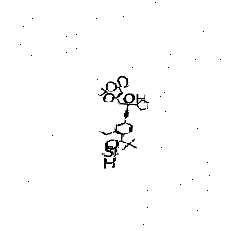 CCc1cc(C#CC(O)(CC2=CC(=O)OC(C)(C)O2)C2CCCC2)ccc1C(O[SiH](C)C)C(C)(C)C